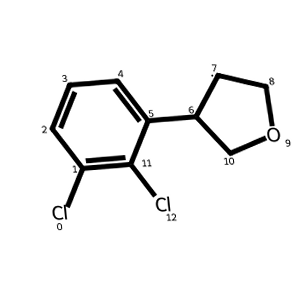 Clc1cccc(C2[CH]COC2)c1Cl